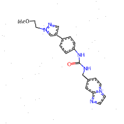 COCCn1cc(-c2ccc(NC(=O)NCc3ccn4ccnc4c3)cc2)cn1